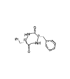 CC(C)C[C@@H]1NC(=O)[C@H](Cc2ccccc2)NC1=O